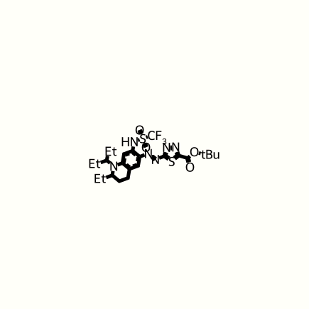 CCC(CC)N1c2cc(NS(=O)(=O)C(F)(F)F)c(N=Nc3nnc(C(=O)OC(C)(C)C)s3)cc2CCC1CC